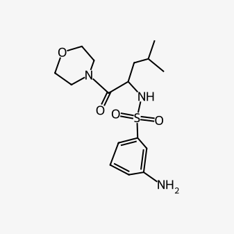 CC(C)CC(NS(=O)(=O)c1cccc(N)c1)C(=O)N1CCOCC1